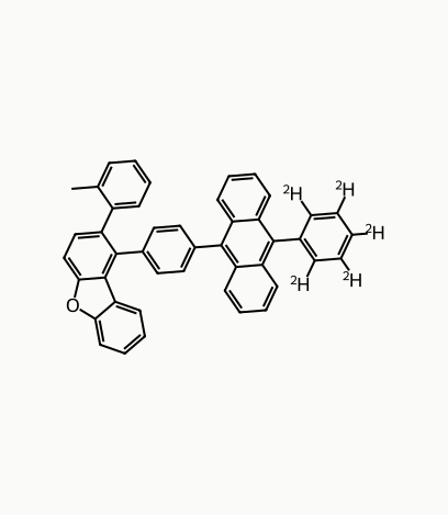 [2H]c1c([2H])c([2H])c(-c2c3ccccc3c(-c3ccc(-c4c(-c5ccccc5C)ccc5oc6ccccc6c45)cc3)c3ccccc23)c([2H])c1[2H]